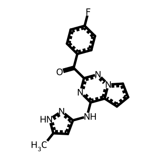 Cc1cc(Nc2nc(C(=O)c3ccc(F)cc3)nn3cccc23)n[nH]1